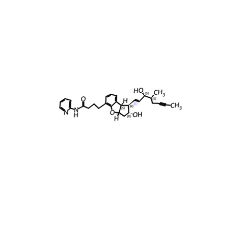 CC#CC[C@H](C)[C@H](O)/C=C/[C@@H]1[C@H]2c3cccc(CCCC(=O)Nc4ccccn4)c3O[C@H]2C[C@H]1O